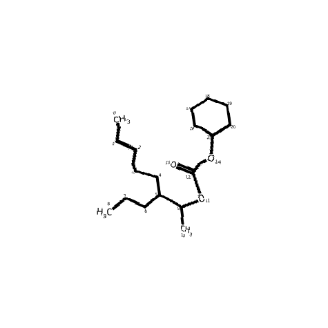 CCCCCC(CCC)C(C)OC(=O)OC1CCCCC1